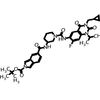 CC(C)n1c(=O)n(CC2CC2)c(=O)c2cc(NC(=O)N3CCCC(NC(=O)c4ccc5cn(C(=O)OC(C)(C)C)cc5c4)C3)c(F)cc21